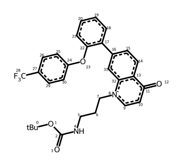 CC(C)(C)OC(=O)NCCCn1ccc(=O)c2ccc(-c3ccccc3Oc3ccc(C(F)(F)F)cc3)cc21